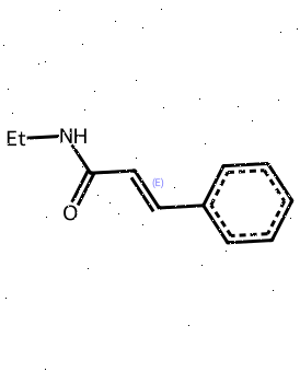 CCNC(=O)/C=C/c1ccccc1